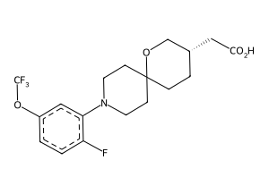 O=C(O)C[C@@H]1CCC2(CCN(c3cc(OC(F)(F)F)ccc3F)CC2)OC1